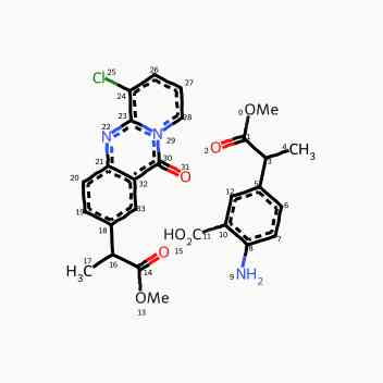 COC(=O)C(C)c1ccc(N)c(C(=O)O)c1.COC(=O)C(C)c1ccc2nc3c(Cl)cccn3c(=O)c2c1